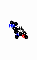 CC1(C)c2cc(Nc3ccccc3-c3ccccc3)ccc2-c2ccc(N(c3ccccc3)c3ccc(-c4cccc5c4oc4ccccc45)cc3)cc21